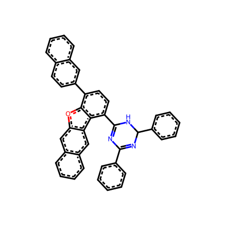 c1ccc(C2=NC(c3ccccc3)NC(c3ccc(-c4ccc5ccccc5c4)c4oc5cc6ccccc6cc5c34)=N2)cc1